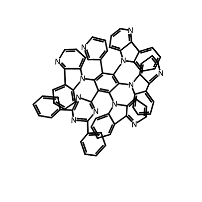 c1ccc(-c2nc(-c3ccccc3)nc(-c3c(-n4c5ccccc5c5ncccc54)c(-c4cccnc4)c(-n4c5ccccc5c5ncccc54)c(-n4c5ccccc5c5ncccc54)c3-n3c4ccccc4c4ncccc43)n2)cc1